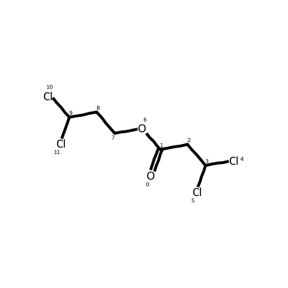 O=C(CC(Cl)Cl)OCCC(Cl)Cl